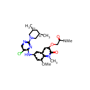 CNC(=O)COc1cc2cc(Nc3nc(N4C[C@H](C)C[C@H](C)C4)ncc3Cl)cc(OC)c2n(C)c1=O